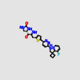 N=C(Cc1ccc(-c2ccc(NCC3(c4ncccc4F)CCC3)nn2)s1)C(=O)[C@@H]1CNC(=O)N1